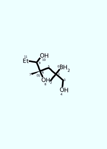 BC(C)(CO)C[C@](C)(O)C(O)CC